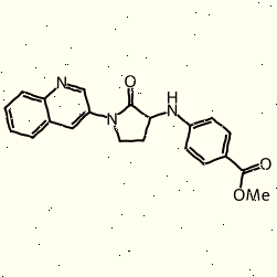 COC(=O)c1ccc(NC2CCN(c3cnc4ccccc4c3)C2=O)cc1